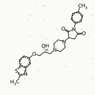 Cc1ccc(N2C(=O)CC(N3CCN(C[C@@H](O)COc4ccc5sc(C)nc5c4)CC3)C2=O)cc1